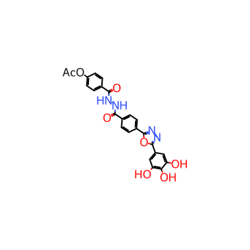 CC(=O)Oc1ccc(C(=O)NNC(=O)c2ccc(-c3nnc(-c4cc(O)c(O)c(O)c4)o3)cc2)cc1